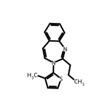 CCCC1=Nc2ccccc2C=CN1c1sccc1C